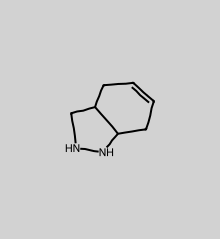 C1=CCC2NNCC2C1